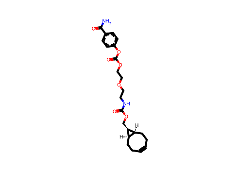 NC(=O)c1ccc(OC(=O)OCCOCCNC(=O)OC[C@@H]2[C@@H]3CCC#CCC[C@@H]32)cc1